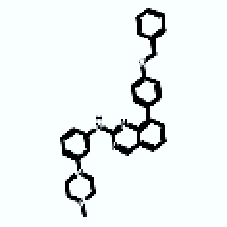 CN1CCN(c2cccc(Nc3ncc4cccc(-c5ccc(OCc6ccccc6)cc5)c4n3)c2)CC1